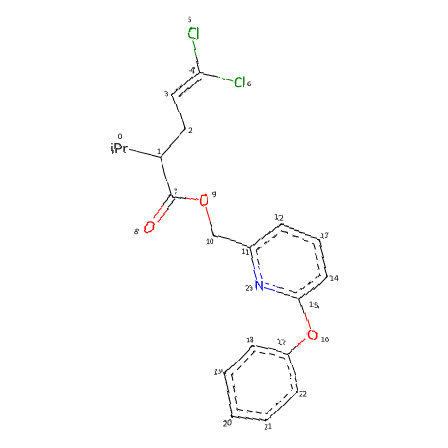 CC(C)C(CC=C(Cl)Cl)C(=O)OCc1cccc(Oc2ccccc2)n1